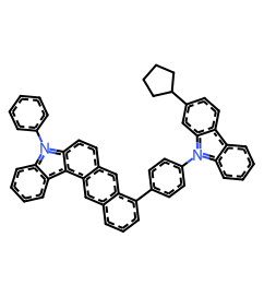 c1ccc(-n2c3ccccc3c3c4cc5cccc(-c6ccc(-n7c8ccccc8c8ccc(C9CCCC9)cc87)cc6)c5cc4ccc32)cc1